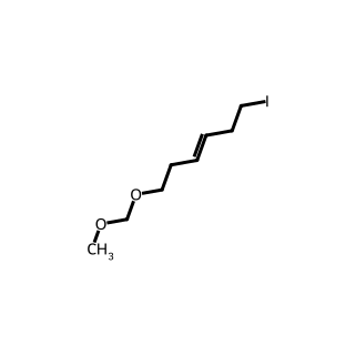 COCOCCC=CCCI